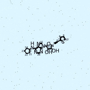 O[C@@H]1[C@H](O)[C@@H](C#Cc2cccs2)O[C@H]1n1cnc2c(NC3CCCC3)ncnc21